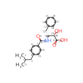 CC(C)Cc1ccc(C(=O)N[C@H](Cc2ccccc2)[C@@H](O)C(=O)O)cc1